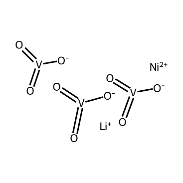 [Li+].[Ni+2].[O]=[V](=[O])[O-].[O]=[V](=[O])[O-].[O]=[V](=[O])[O-]